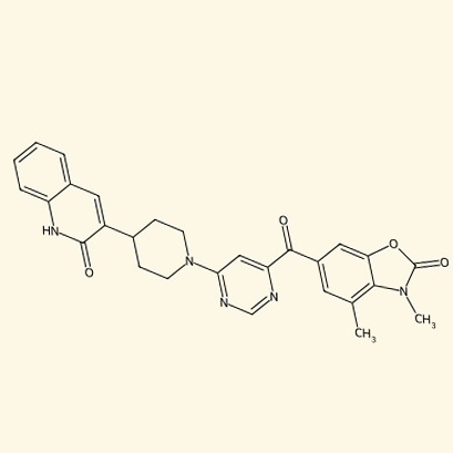 Cc1cc(C(=O)c2cc(N3CCC(c4cc5ccccc5[nH]c4=O)CC3)ncn2)cc2oc(=O)n(C)c12